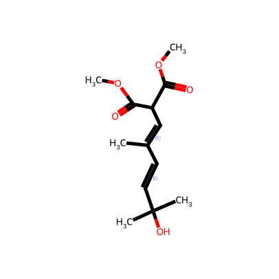 COC(=O)C(/C=C(C)/C=C/C(C)(C)O)C(=O)OC